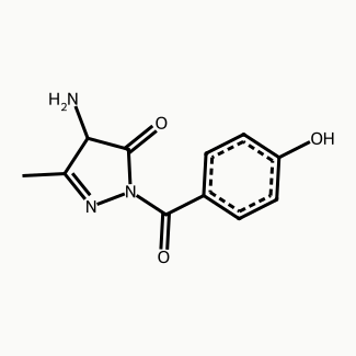 CC1=NN(C(=O)c2ccc(O)cc2)C(=O)C1N